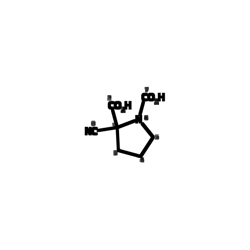 N#CC1(C(=O)O)CCCN1C(=O)O